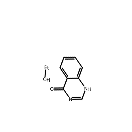 CCO.O=c1nc[nH]c2ccccc12